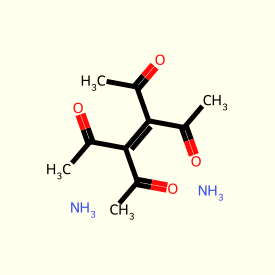 CC(=O)C(C(C)=O)=C(C(C)=O)C(C)=O.N.N